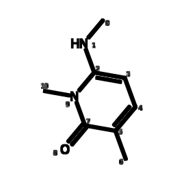 CNc1ccc(C)c(=O)n1C